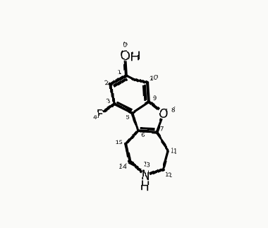 Oc1cc(F)c2c3c(oc2c1)CCNCC3